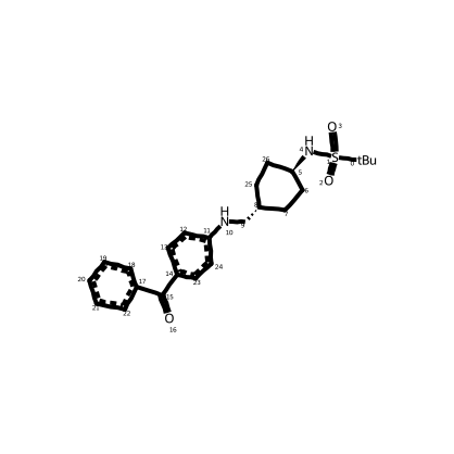 CC(C)(C)S(=O)(=O)N[C@H]1CC[C@H](CNc2ccc(C(=O)c3ccccc3)cc2)CC1